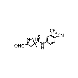 CC1(C(=S)Nc2ccc(C#N)c(C(F)(F)F)c2)CC(C=O)=NN1